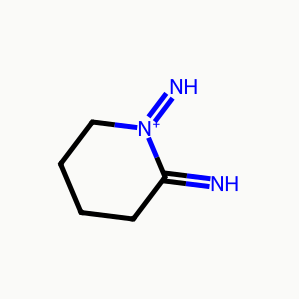 N=C1CCCC[N+]1=N